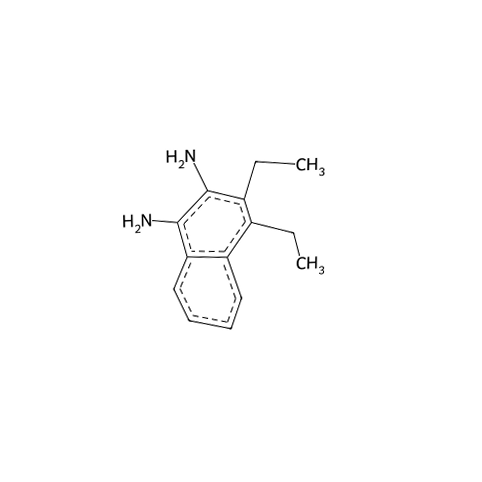 CCc1c(N)c(N)c2ccccc2c1CC